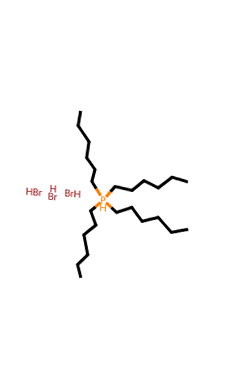 Br.Br.Br.CCCCCC[PH](CCCCCC)(CCCCCC)CCCCCC